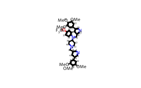 COc1cc(-c2cncc(CN3CCC(N(Cc4cncc(-c5cc(OC)c(OC)c(OC)c5)c4)c4ccc(OC(F)(F)F)cc4)CC3)c2)cc(OC)c1OC